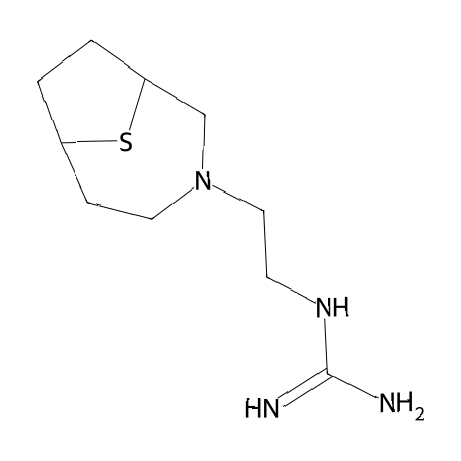 N=C(N)NCCN1CCC2CCC(C1)S2